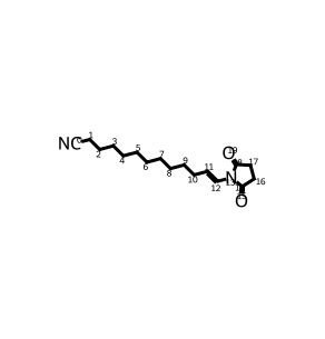 N#CCCCCCCCCCCC=CN1C(=O)CCC1=O